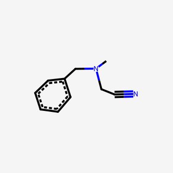 CN(CC#N)Cc1ccccc1